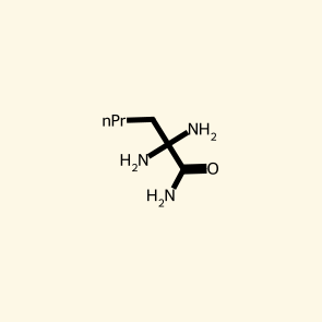 CCCCC(N)(N)C(N)=O